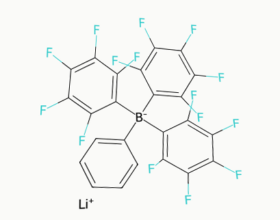 Fc1c(F)c(F)c([B-](c2ccccc2)(c2c(F)c(F)c(F)c(F)c2F)c2c(F)c(F)c(F)c(F)c2F)c(F)c1F.[Li+]